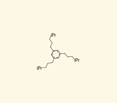 CC(C)CCCc1cc(CCCC(C)C)cc(CCCC(C)C)c1